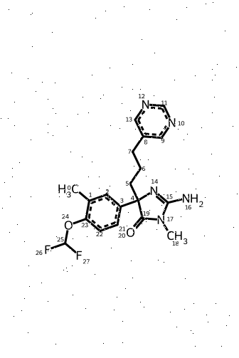 Cc1cc(C2(CCCc3cncnc3)N=C(N)N(C)C2=O)ccc1OC(F)F